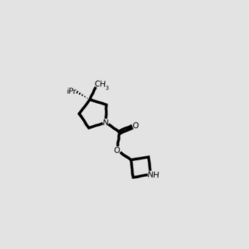 CC(C)[C@@]1(C)CCN(C(=O)OC2CNC2)C1